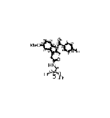 CCOP(=O)(CNC(=O)Cc1c(C)n(C(=O)c2ccc(I)cc2)c2ccc(OC)cc12)OCC